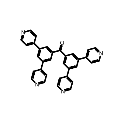 O=C(c1cc(-c2ccncc2)cc(-c2ccncc2)c1)c1cc(-c2ccncc2)cc(-c2ccncc2)c1